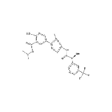 Cc1cc(NC(=O)[C@@H](O)c2cccc(C(F)(F)F)c2)ccc1-c1cnc(N)c(C(=O)NC(C)C)c1